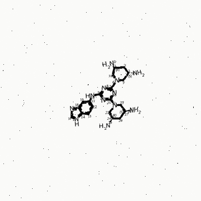 N[C@@H]1C[C@H](N)CN(c2nc(Nc3ccc4[nH]cnc4c3)nc(N3C[C@H](N)C[C@H](N)C3)n2)C1